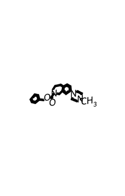 CN1CCN(c2ccc3c(c2)CN(C(=O)OCc2ccccc2)CCC3)CC1